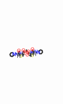 CC(OC(=O)[C@@H]1N2C(=O)[C@@H](N=CN3CCCCCC3)[C@H]2SC1(C)C)OC(=O)[C@@H]1N2C(=O)[C@@H](N=CN3CCCCCC3)[C@H]2SC1(C)C